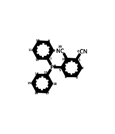 N#Cc1cccc(P(c2ccccc2)c2ccccc2)c1C#N